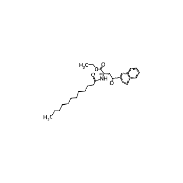 CCCCCCCCCCCC(=O)N[C@H](CC(=O)c1ccc2ccccc2c1)C(=O)OCC